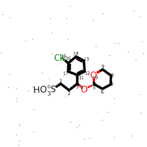 O=S(=O)(O)CCC(O[C@@H]1CCCCO1)c1cccc(Cl)c1